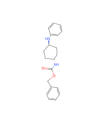 O=C(N[C@H]1CC[C@H](Nc2ccccc2)CC1)OCc1ccccc1